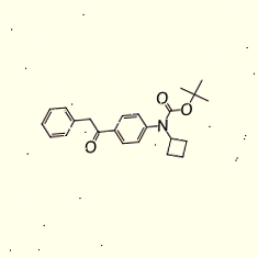 CC(C)(C)OC(=O)N(c1ccc(C(=O)Cc2ccccc2)cc1)C1CCC1